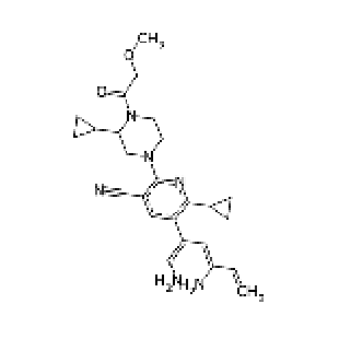 C=C/C(N)=C/C(=C\N)c1cc(C#N)c(N2CCN(C(=O)COC)C(C3CC3)C2)nc1C1CC1